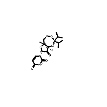 CC(C)[Si]1(C(C)C)OOC[C@H]2O[C@@H](n3ccc(=O)[nH]c3=O)C(=O)[C@@H]2O1